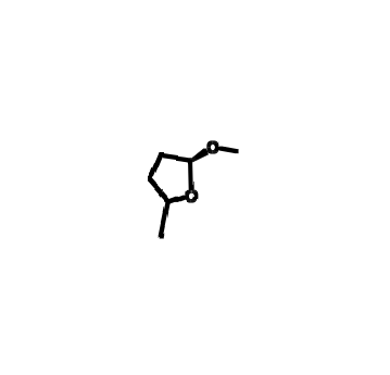 CO[C@@H]1CCC(C)O1